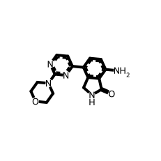 Nc1ccc(-c2ccnc(N3CCOCC3)n2)c2c1C(=O)NC2